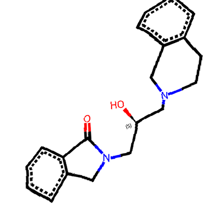 O=C1c2ccccc2CN1C[C@@H](O)CN1CCc2ccccc2C1